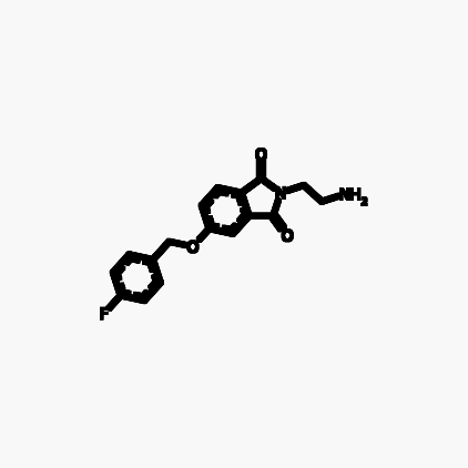 NCCN1C(=O)c2ccc(OCc3ccc(F)cc3)cc2C1=O